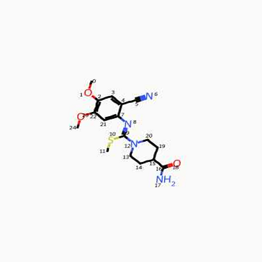 COc1cc(C#N)c(N=C(SC)N2CCC(C(N)=O)CC2)cc1OC